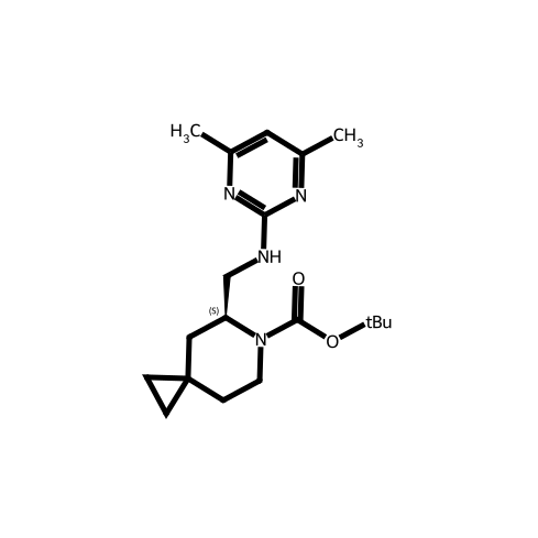 Cc1cc(C)nc(NC[C@@H]2CC3(CCN2C(=O)OC(C)(C)C)CC3)n1